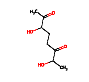 CC(=O)C(O)CCC(=O)C(C)O